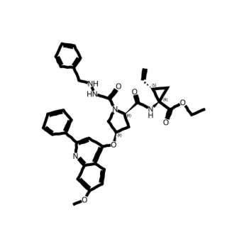 C=C[C@@H]1C[C@]1(NC(=O)[C@H]1C[C@@H](Oc2cc(-c3ccccc3)nc3cc(OC)ccc23)CN1C(=O)NNCc1ccccc1)C(=O)OCC